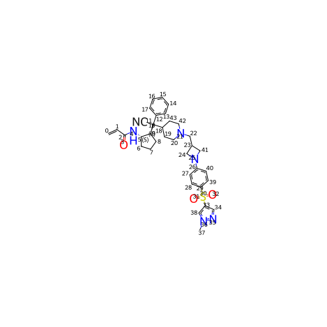 C=CC(=O)N[C@H]1CCC[C@@H]1C(C#N)(c1ccccc1)C1CCN(CC2CN(c3ccc(S(=O)(=O)c4cnn(C)c4)cc3)C2)CC1